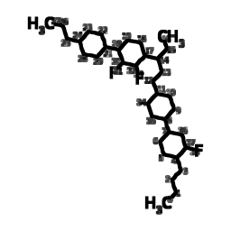 CCCCC1CCC(C2CCC(CCC(CC)C3CCC(C4CCC(CCC)CC4)C(F)C3F)CC2)CC1F